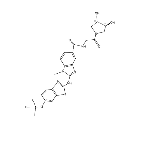 Cn1c(Nc2nc3ccc(OC(F)(F)F)cc3s2)nc2cc(C(=O)NCC(=O)N3C[C@H](O)[C@@H](O)C3)ccc21